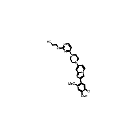 COc1cc(OC)c(-c2cn3ccc(N4CCN(c5ccnc(NCCO)n5)CC4)cc3n2)cc1Cl